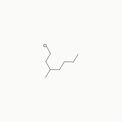 [CH2]C(CCCl)CCCC